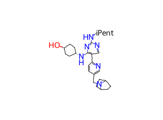 CCC[C@H](C)Nc1ncc(-c2ccc(CN3C4CCC3CC4)cn2)c(N[C@H]2CC[C@H](O)CC2)n1